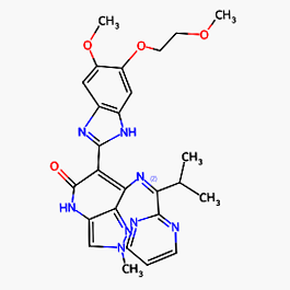 COCCOc1cc2[nH]c(-c3c(/N=C(\c4ncccn4)C(C)C)c4nn(C)cc4[nH]c3=O)nc2cc1OC